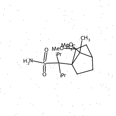 COC1(OC)CC2CCC1(C(C(C)C)(C(C)C)S(N)(=O)=O)C2(C)C